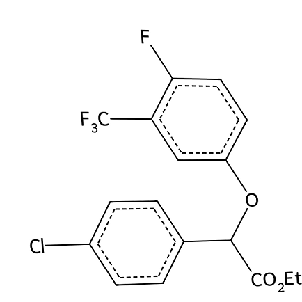 CCOC(=O)C(Oc1ccc(F)c(C(F)(F)F)c1)c1ccc(Cl)cc1